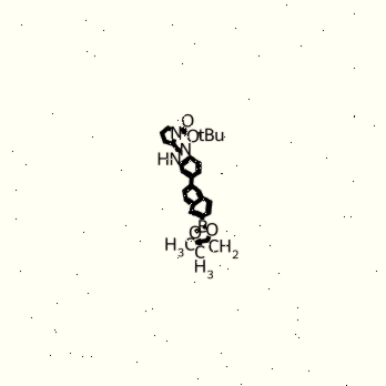 C=C1OB(c2ccc3cc(-c4ccc5nc(C6CCCN6C(=O)OC(C)(C)C)[nH]c5c4)ccc3c2)OC1(C)C